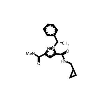 CNC(=O)c1cc(C(=O)NCC2CC2)n([C@@H](C)c2ccccc2)n1